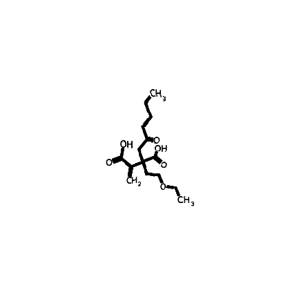 C=C(C(=O)O)C(CCOCC)(CC(=O)CCCC)C(=O)O